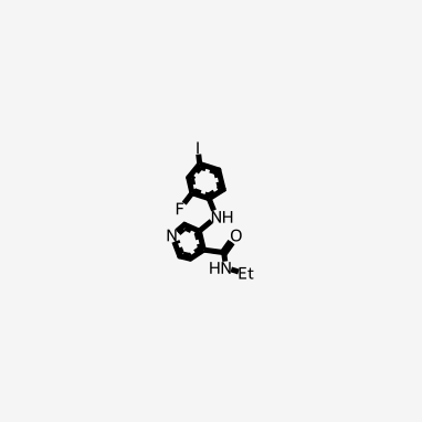 CCNC(=O)c1ccncc1Nc1ccc(I)cc1F